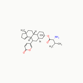 CC(C)[C@@H](N)C(=O)O[C@H]1CC[C@@]2(C)[C@H](CC(c3ccc(=O)oc3)[C@@H]3C4=CCC[C@]4(C)CC[C@@H]32)C1